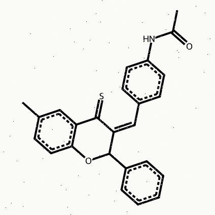 CC(=O)Nc1ccc(C=C2C(=S)c3cc(C)ccc3OC2c2ccccc2)cc1